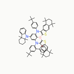 CC(C)(C)c1ccc(N2c3cc(N4c5ccccc5C5(C)CCCCC45C)cc4c3B(c3sc5cc6c(cc5c32)C(C)(C)CCC6(C)C)c2sc3cc5c(cc3c2N4c2ccc(C(C)(C)C)cc2-c2ccccc2)C(C)(C)CCC5(C)C)cc1